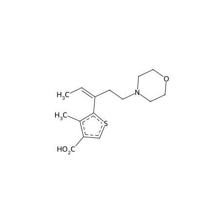 CC=C(CCN1CCOCC1)c1scc(C(=O)O)c1C